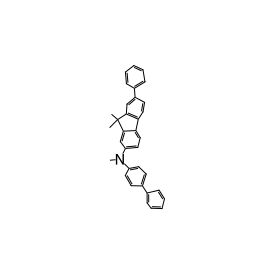 CN(c1ccc(-c2ccccc2)cc1)c1ccc2c(c1)C(C)(C)c1cc(-c3ccccc3)ccc1-2